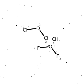 C.ClOCl.FOF